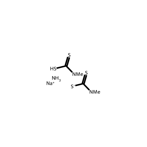 CNC(=S)S.CNC(=S)[S-].N.[Na+]